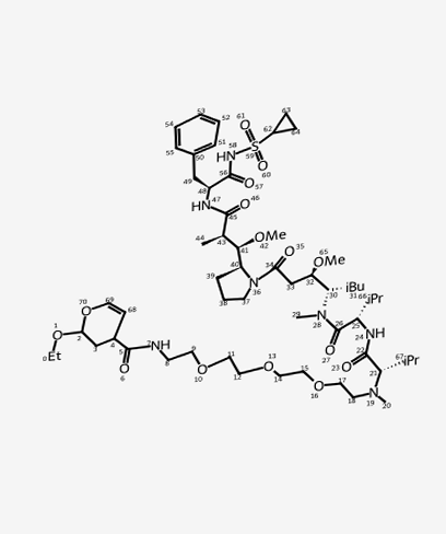 CCOC1CC(C(=O)NCCOCCOCCOCCN(C)[C@H](C(=O)N[C@H](C(=O)N(C)[C@@H]([C@@H](C)CC)[C@@H](CC(=O)N2CCC[C@H]2[C@H](OC)[C@@H](C)C(=O)N[C@@H](Cc2ccccc2)C(=O)NS(=O)(=O)C2CC2)OC)C(C)C)C(C)C)C=CO1